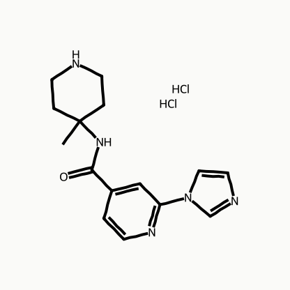 CC1(NC(=O)c2ccnc(-n3ccnc3)c2)CCNCC1.Cl.Cl